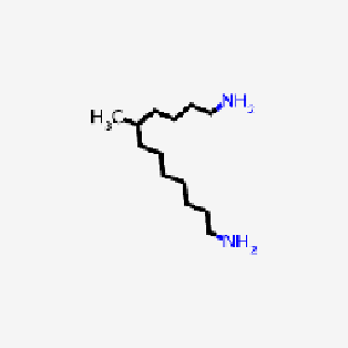 CC(CCCCN)CCCCCCCN